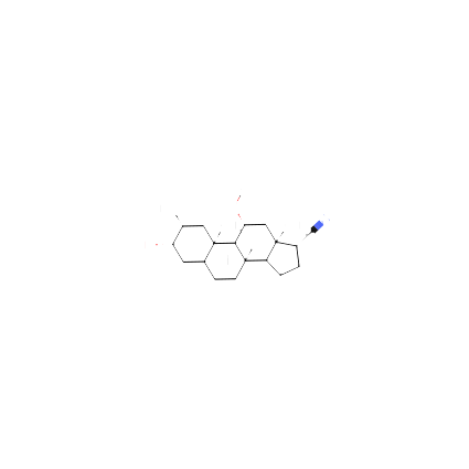 CO[C@H]1C[C@]2(C)[C@@H](C#N)CC[C@H]2[C@@H]2CC[C@H]3C[C@H](O)[C@@H](C)C[C@]3(C)[C@H]21